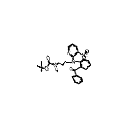 CC(C)(C)OC(=O)NCCCCN(c1ccccc1C(=O)c1ccccc1)c1ncccc1[N+](=O)[O-]